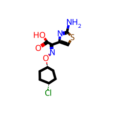 Nc1nc(C(=NO[C@H]2CC[C@@H](Cl)CC2)C(=O)O)cs1